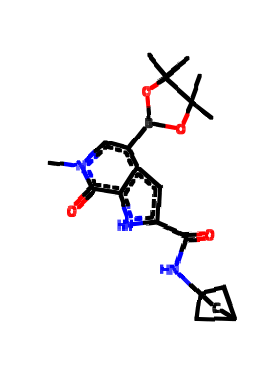 Cn1cc(B2OC(C)(C)C(C)(C)O2)c2cc(C(=O)NC34CC(C3)C4)[nH]c2c1=O